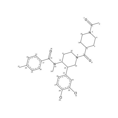 CC(=O)N1CCC(C(=O)N2CCC(N(C)C(=O)c3ccc(C)cc3)C(c3ccc(Cl)c(Cl)c3)C2)CC1